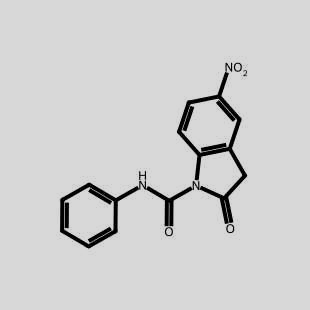 O=C1Cc2cc([N+](=O)[O-])ccc2N1C(=O)Nc1ccccc1